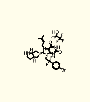 CC(C)=CCN1c2c(n(C)c(=O)[nH]c2=O)N(CC(F)(F)c2ccc(Br)cc2)C1N1C[C@@H]2CCN[C@@H]2C1.O=C(O)C(F)(F)F